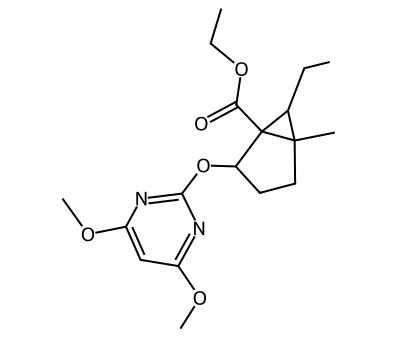 CCOC(=O)C12C(Oc3nc(OC)cc(OC)n3)CCC1(C)C2CC